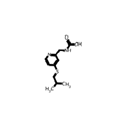 CC(C)CSc1ccnc(CNC(=O)O)c1